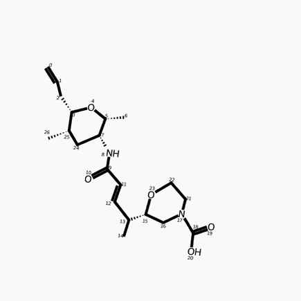 C=CC[C@@H]1O[C@H](C)[C@H](NC(=O)/C=C/C(C)[C@H]2CN(C(=O)O)CCO2)C[C@@H]1C